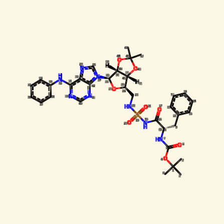 CC(C)(C)OC(=O)N[C@@H](Cc1ccccc1)C(=O)NS(=O)(=O)NC[C@H]1O[C@@H](n2cnc3c(Nc4ccccc4)ncnc32)[C@@H]2OC(C)(C)O[C@@H]21